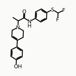 CC(C(=O)Nc1ccc(SC(F)F)cc1)N1CC=C(c2ccc(O)cc2)CC1